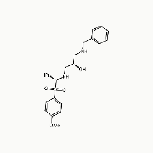 COc1ccc(S(=O)(=O)[C@H](NC[C@H](O)CNCc2ccccc2)C(C)C)cc1